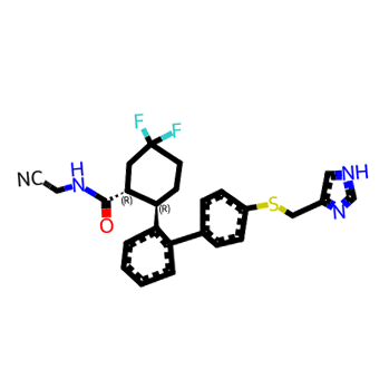 N#CCNC(=O)[C@@H]1CC(F)(F)CC[C@H]1c1ccccc1-c1ccc(SCc2c[nH]cn2)cc1